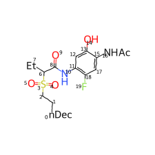 CCCCCCCCCCCCS(=O)(=O)C(CC)C(=O)Nc1cc(O)c(NC(C)=O)cc1F